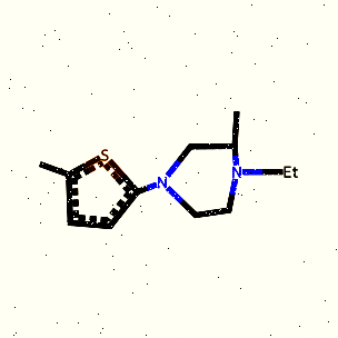 CCN1CCN(c2ccc(C)s2)CC1C